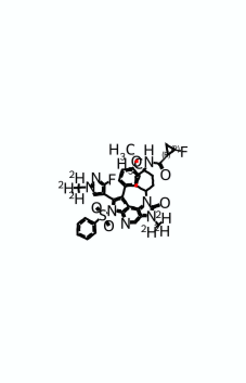 [2H]C([2H])([2H])n1cc(-c2c(-c3ccc(OC)cc3)c3c(ncc4c3n(C3CCC(C)(NC(=O)[C@H]5C[C@H]5F)CC3)c(=O)n4C([2H])([2H])[2H])n2S(=O)(=O)c2ccccc2)c(F)n1